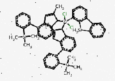 CC1=Cc2c(-c3ccccc3[Si](C)(C)C)cccc2[CH]1[Zr]([Cl])([Cl])([c]1cccc2c1[SiH2]c1ccccc1-2)[CH]1C(C)=Cc2c(-c3ccccc3[Si](C)(C)C)cccc21